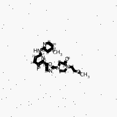 COCCN1CCN(c2ncc(-c3nc(Nc4cc(C)ccn4)ccc3F)o2)CC1=O